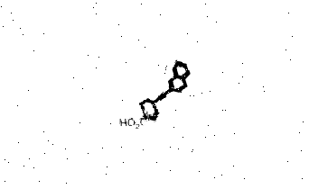 O=C(O)N1CCC(C#Cc2ccc3ccccc3c2)CC1